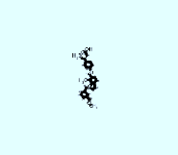 C=C[C@@H](CC(=O)O)c1ccc(OCc2ccc3ccn(Cc4cccc(COC)c4)c3c2C)cc1